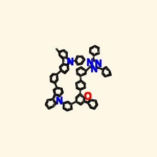 Cc1ccc2c(c1)c1cc(-c3cccc(-c4ccc5c(c4)c4ccccc4n5-c4cccc(-c5cc(-c6ccc(-c7cccc(-c8nc(-c9ccccc9)nc(-c9ccccc9)n8)c7)cc6)c6oc7ccccc7c6c5)c4)c3)ccc1n2-c1ccccc1